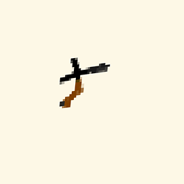 CCCC(C)(C)S[S]